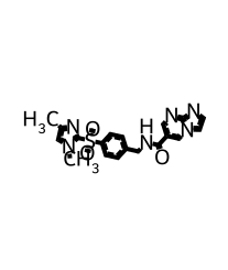 Cc1cn(C)c(S(=O)(=O)c2ccc(CNC(=O)c3cnc4nccn4c3)cc2)n1